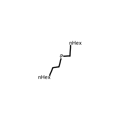 CCCCCCCC[P]CCCCCCC